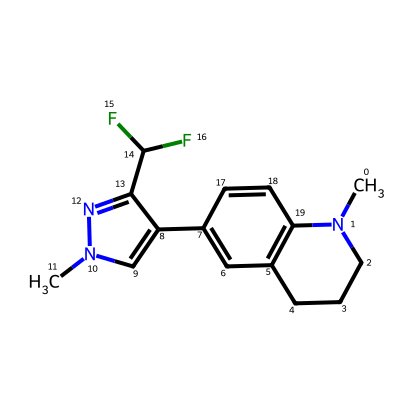 CN1CCCc2cc(-c3cn(C)nc3C(F)F)ccc21